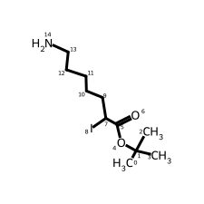 CC(C)(C)OC(=O)C(I)CCCCCN